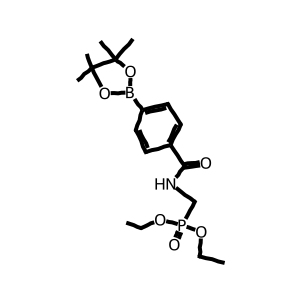 CCOP(=O)(CNC(=O)c1ccc(B2OC(C)(C)C(C)(C)O2)cc1)OCC